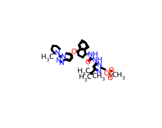 CC1CCCCN1c1nnc2ccc(O[C@@H]3CC[C@H](NC(=O)Nc4cc(C(C)(C)C)nc(COS(C)(=O)=O)n4)c4ccccc43)cn12